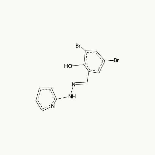 Oc1c(Br)cc(Br)cc1C=NNc1ccccn1